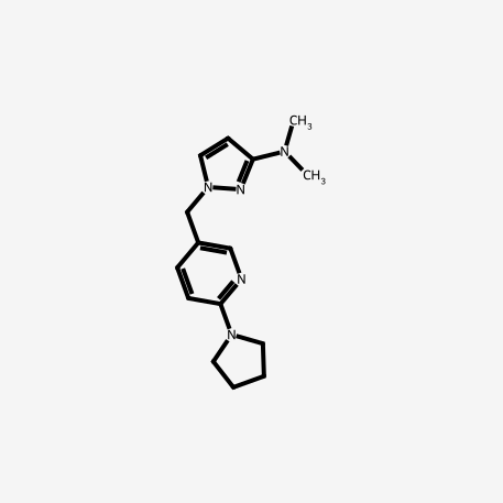 CN(C)c1ccn(Cc2ccc(N3CCCC3)nc2)n1